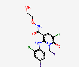 O=C(NOCCO)c1cc(Cl)c(=O)n(CI)c1Nc1ccc(I)cc1F